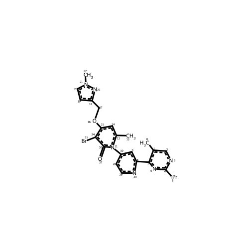 Cc1cnc(C(C)C)nc1-c1cc(-n2c(C)cc(OCc3ccn(C)n3)c(Br)c2=O)ccn1